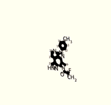 C=C(F)C(=O)N1CC(c2nn(-c3ccc(C)cc3)c3nccc(-c4cn[nH]c4)c23)C1